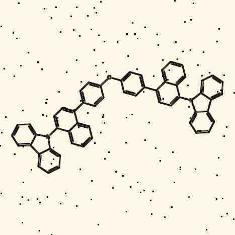 c1ccc2c(-n3c4ccccc4c4ccccc43)ccc(-c3ccc(Oc4ccc(-c5ccc(-n6c7ccccc7c7ccccc76)c6ccccc56)cc4)cc3)c2c1